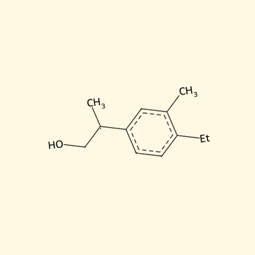 CCc1ccc([C](C)CO)cc1C